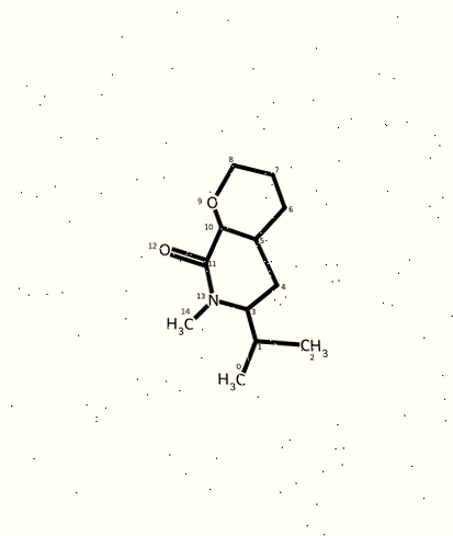 CC(C)C1CC2CCCOC2C(=O)N1C